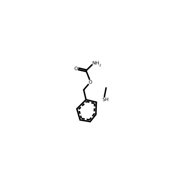 CS.NC(=O)OCc1ccccc1